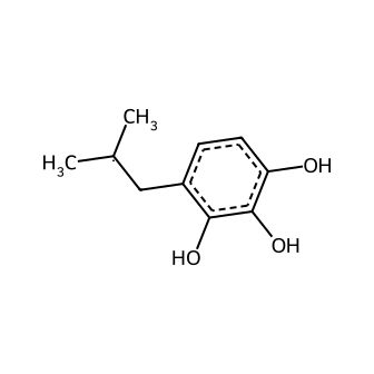 C[C](C)Cc1ccc(O)c(O)c1O